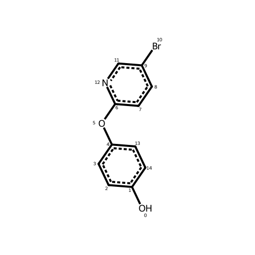 Oc1ccc(Oc2ccc(Br)cn2)cc1